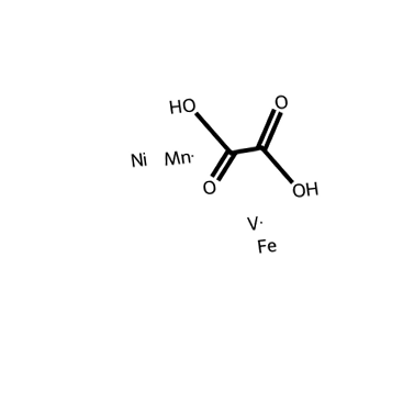 O=C(O)C(=O)O.[Fe].[Mn].[Ni].[V]